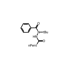 CCCCCC(=O)NN(C(=O)c1ccccc1)C(C)(C)C